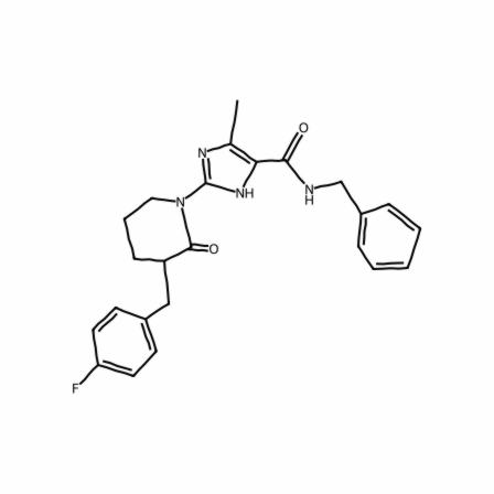 Cc1nc(N2CCCC(Cc3ccc(F)cc3)C2=O)[nH]c1C(=O)NCc1ccccc1